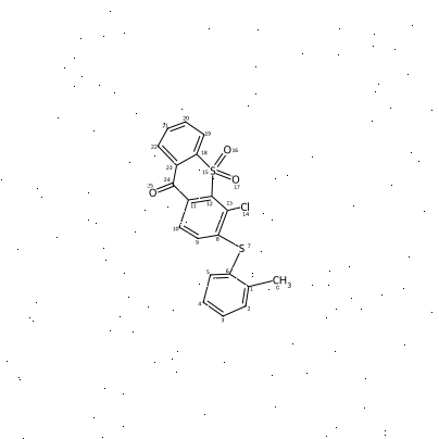 Cc1ccccc1Sc1ccc2c(c1Cl)S(=O)(=O)c1ccccc1C2=O